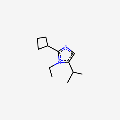 CCn1c(C(C)C)cnc1C1CCC1